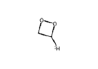 [2H]C1COO1